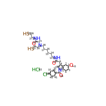 COc1ccc2c(c1)c(CC(=O)NCCCCCCN(CCS)CC(=O)NCCS)c(C)n2C(=O)c1ccc(Cl)cc1.Cl